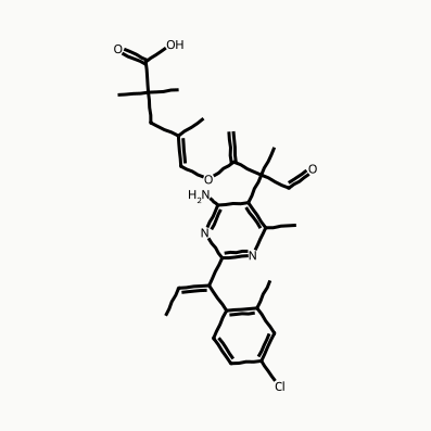 C=C(O/C=C(\C)CC(C)(C)C(=O)O)C(C)(C=O)c1c(C)nc(/C(=C/C)c2ccc(Cl)cc2C)nc1N